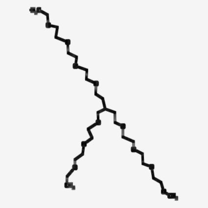 [CH2]COCCOCCOCCOCCC(CCOCCOCCOCCOC)COCCOCCOCC